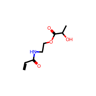 C=CC(=O)NCCOC(=O)C(C)O